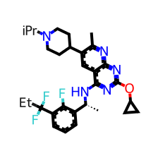 CCC(F)(F)c1cccc([C@@H](C)Nc2nc(OC3CC3)nc3nc(C)c(C4CCN(C(C)C)CC4)cc23)c1F